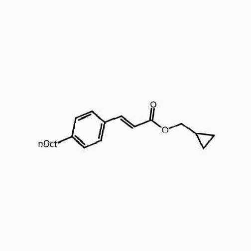 CCCCCCCCc1ccc(/C=C/C(=O)OCC2CC2)cc1